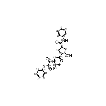 N#CC1CC(C(=O)Nc2ccccc2)CN1C(=O)CN(C(=O)C(=O)Nc1ccccc1)C(F)F